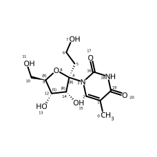 Cc1cn([C@]2(CCO)O[C@H](CO)[C@@H](O)[C@H]2O)c(=O)[nH]c1=O